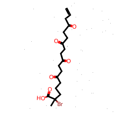 C=CCC(=O)CCC(=O)CCC(=O)CCC(=O)CCCC(C)(Br)C(=O)O